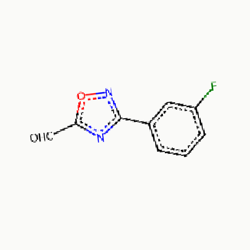 O=Cc1nc(-c2cccc(F)c2)no1